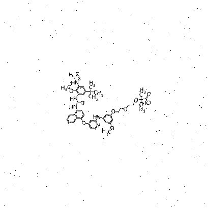 COc1cc(Nc2cc(Oc3ccc(NC(=O)Nc4cc(C(C)(C)C)cc(NSC)c4OC)c4ccccc34)ccn2)cc(OCCOCCOC(C)(C)C(=O)O)c1